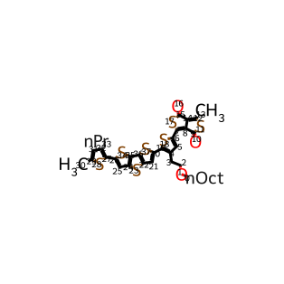 CCCCCCCCOCCc1cc(C2=C3C(=O)SC(C)=C3C(=O)S2)sc1-c1cc2sc3cc(-c4sc(C)cc4CCC)sc3c2s1